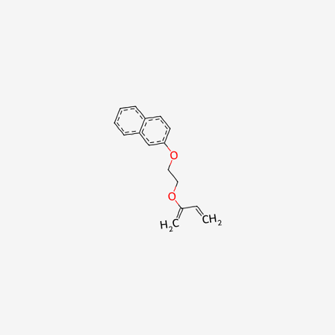 C=CC(=C)OCCOc1ccc2ccccc2c1